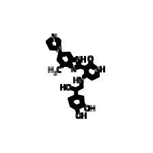 Cc1cc(-n2ccnc2)cc2[nH]c(-c3c(NCC(O)c4ccc(O)c(O)c4)cc[nH]c3=O)nc12